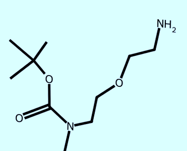 CN(CCOCCN)C(=O)OC(C)(C)C